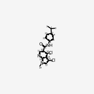 CC(C)c1ccc(NC(=O)c2cnc3c(c(Cl)cn3C)c2Cl)cc1